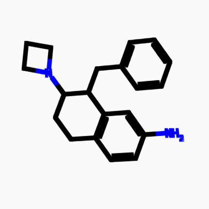 Nc1ccc2c(c1)C(Cc1ccccc1)C(N1CCC1)CC2